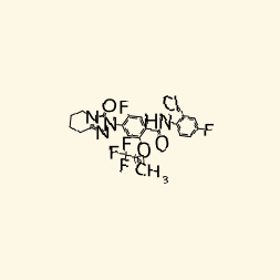 C[C@H](Oc1cc(-n2nc3n(c2=O)CCCC3)c(F)cc1C(=O)Nc1ccc(F)cc1Cl)C(F)(F)F